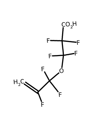 C=C(F)C(F)(F)OC(F)(F)C(F)(F)C(=O)O